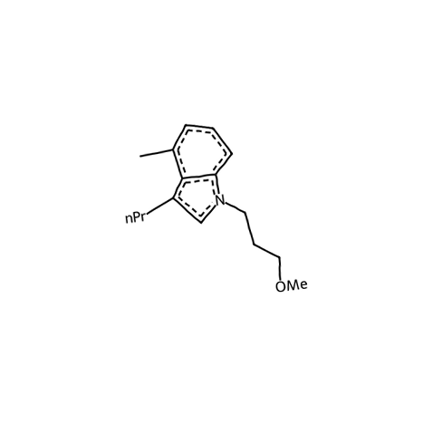 CCCc1cn(CCCOC)c2cccc(C)c12